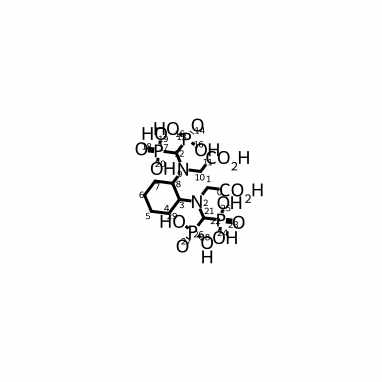 O=C(O)CN(C1CCCCC1N(CC(=O)O)C(P(=O)(O)O)P(=O)(O)O)C(P(=O)(O)O)P(=O)(O)O